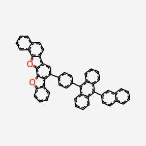 c1ccc2cc(-c3c4ccccc4c(-c4ccc(-c5cc6c7ccc8ccccc8c7oc6c6oc7ccccc7c56)cc4)c4ccccc34)ccc2c1